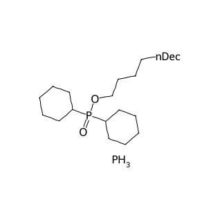 CCCCCCCCCCCCCCOP(=O)(C1CCCCC1)C1CCCCC1.P